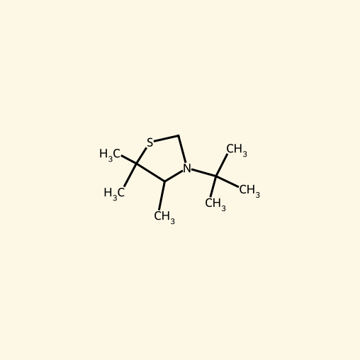 CC1N(C(C)(C)C)CSC1(C)C